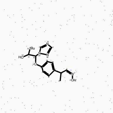 CC(/C=N\O)c1ccc(OC(C(O)C(C)(C)C)n2cncn2)cc1